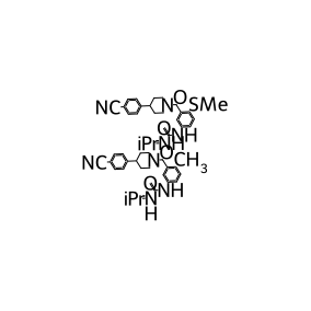 CSc1ccc(NC(=O)NC(C)C)cc1C(=O)N1CCC(c2ccc(C#N)cc2)CC1.Cc1ccc(NC(=O)NC(C)C)cc1C(=O)N1CCC(c2ccc(C#N)cc2)CC1